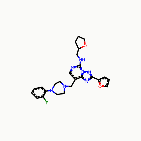 Fc1ccccc1N1CCN(Cc2cnc(NCC3CCCO3)n3nc(-c4ccco4)nc23)CC1